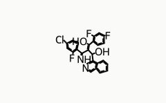 N=C(/C(=C(\O)c1ccc(F)cc1F)C(O)c1cncc2ccccc12)c1ccc(Cl)cc1F